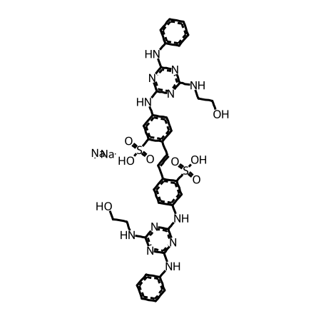 O=S(=O)(O)c1cc(Nc2nc(NCCO)nc(Nc3ccccc3)n2)ccc1C=Cc1ccc(Nc2nc(NCCO)nc(Nc3ccccc3)n2)cc1S(=O)(=O)O.[Na].[Na]